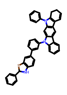 C1=Cc2c(n(-c3ccccc3)c3cc4c(cc23)c2ccccc2n4-c2cccc(-c3ccc4c(c3)SC(c3ccccc3)N4)c2)CC1